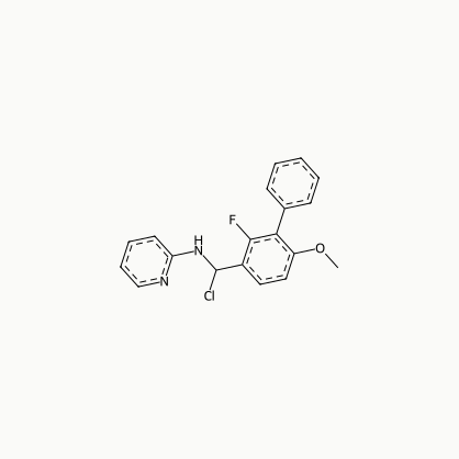 COc1ccc(C(Cl)Nc2ccccn2)c(F)c1-c1ccccc1